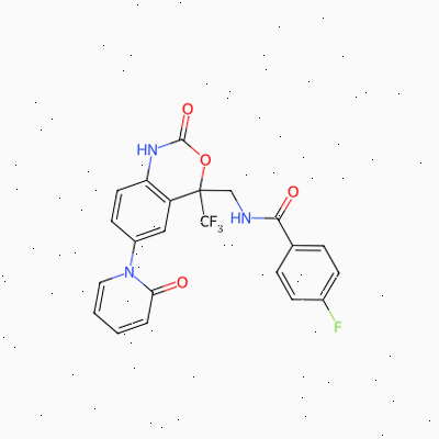 O=C1Nc2ccc(-n3ccccc3=O)cc2C(CNC(=O)c2ccc(F)cc2)(C(F)(F)F)O1